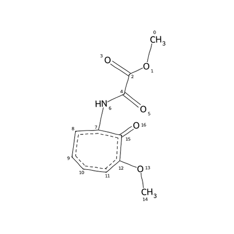 COC(=O)C(=O)Nc1ccccc(OC)c1=O